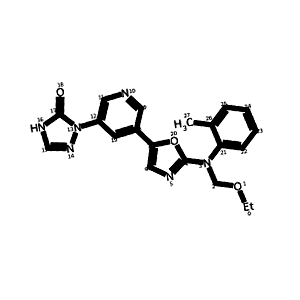 CCOCN(c1ncc(-c2cncc(-n3nc[nH]c3=O)c2)o1)c1ccccc1C